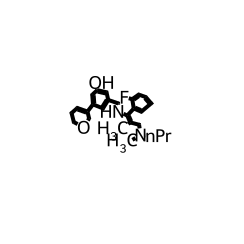 CCCN(C)C/C(C)=C(/NCc1cc(O)cc(C2=CCCOC2)c1)c1ccccc1F